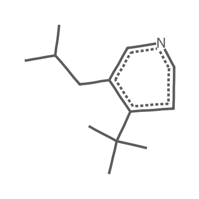 CC(C)Cc1cnccc1C(C)(C)C